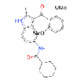 COc1cccc(OC)c1C(=O)c1c(C)[nH]c2ccc(NC(=O)C3CCCCC3)cc12